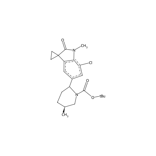 C[C@H]1CCC(c2cc(Cl)c3c(c2)C2(CC2)C(=O)N3C)N(C(=O)OC(C)(C)C)C1